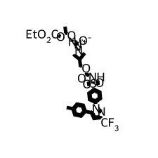 CCOC(=O)OC(C)O/N=[N+](\[O-])N1CC(COC(=O)NS(=O)(=O)c2ccc(-n3nc(C(F)(F)F)cc3-c3ccc(C)cc3)cc2)C1